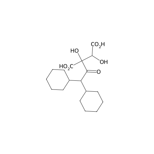 O=C(O)C(O)C(O)(C(=O)O)C(=O)C(C1CCCCC1)C1CCCCC1